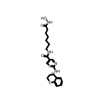 O=C(CCCCCCNC(=O)c1cnc(N[C@H]2CCOc3ccccc32)nc1)NO